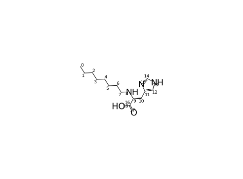 CCCCCCCCN[C@@H](Cc1c[nH]cn1)C(=O)O